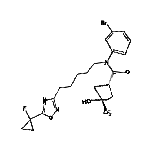 O=C([C@H]1C[C@](O)(C(F)(F)F)C1)N(CCCCCc1noc(C2(F)CC2)n1)c1cccc(Br)c1